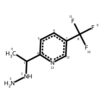 CC(NN)c1ccc(C(F)(F)F)cn1